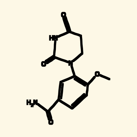 COc1ccc(C(N)=O)cc1N1CCC(=O)NC1=O